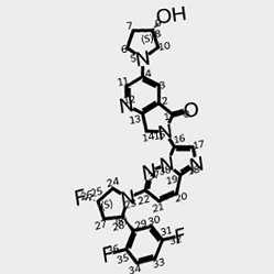 O=C1c2cc(N3CC[C@H](O)C3)cnc2CN1c1cnc2ccc(N3C[C@@H](F)C[C@@H]3c3cc(F)ccc3F)nn12